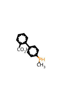 CPc1ccc(-c2ccccc2C(=O)O)cc1